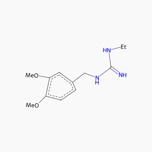 CCNC(=N)NCc1ccc(OC)c(OC)c1